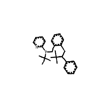 CC(C)(C)C(Cc1ccccc1CP(c1ccccn1)C(C)(C)C)c1ccccc1